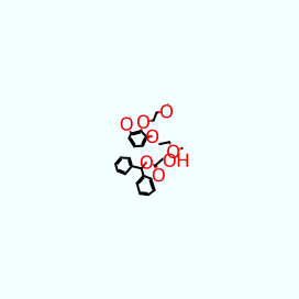 COCCOc1cccc(OC)c1OCCOC.O=C(CO)OC(c1ccccc1)c1ccccc1